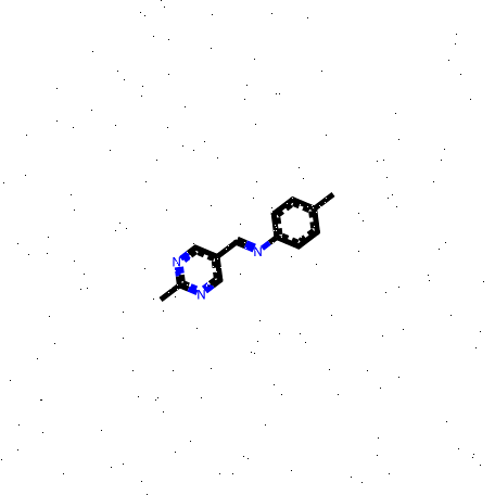 Cc1ccc(N=Cc2cnc(C)nc2)cc1